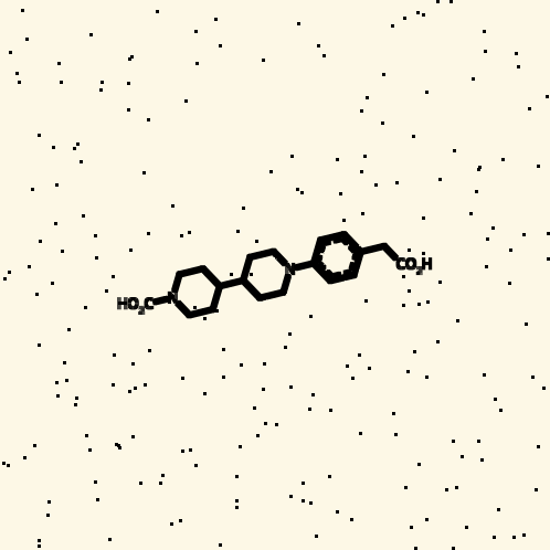 O=C(O)Cc1ccc(N2CCC(C3CCN(C(=O)O)CC3)CC2)cc1